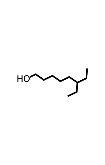 CCC(CC)CCCCCO